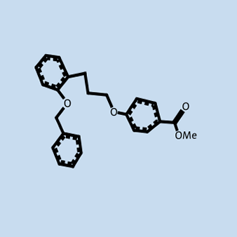 COC(=O)c1ccc(OCCCc2ccccc2OCc2ccccc2)cc1